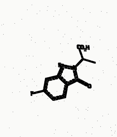 CC(C(=O)O)n1[se]c2cc(F)ccc2c1=O